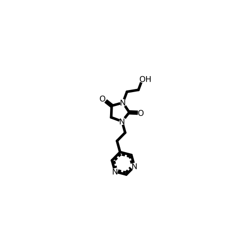 O=C1CN(CCc2cncnc2)C(=O)N1CCO